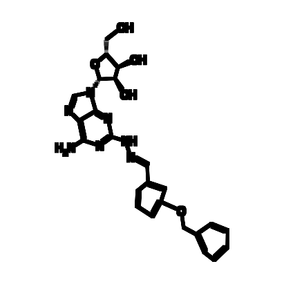 Nc1nc(N/N=C/c2cccc(OCc3ccccc3)c2)nc2c1ncn2[C@@H]1O[C@H](CO)[C@@H](O)[C@H]1O